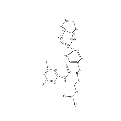 CCN(CC)CCCN(Cc1ccc(C(=O)Nc2ccccc2N)nc1)C(=O)Nc1cc(F)cc(F)c1